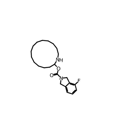 O=C(OC1CCCCCCCCCCCCCN1)N1Cc2cccc(F)c2C1